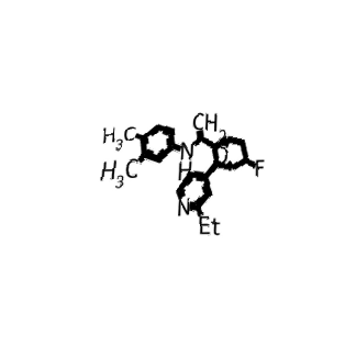 C=C(Nc1ccc(C)c(C)c1)C1C2CC(F)C(O2)C1c1ccnc(CC)c1